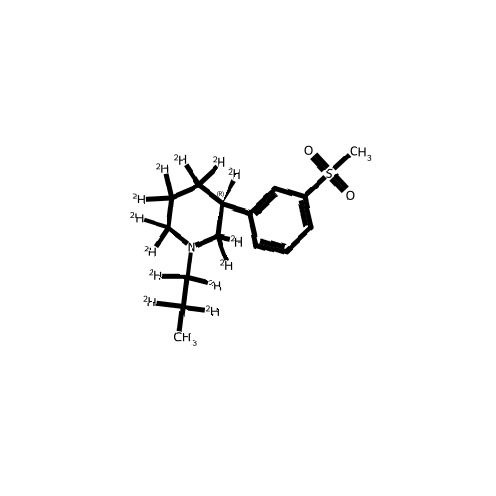 [2H]C([2H])(C)C([2H])([2H])N1C([2H])([2H])C([2H])([2H])C([2H])([2H])[C@]([2H])(c2cccc(S(C)(=O)=O)c2)C1([2H])[2H]